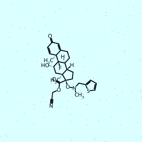 CN(Cc1cccs1)O[C@]1(C(=O)OCC#N)CC[C@H]2[C@@H]3CCC4=CC(=O)C=C[C@]4(C)[C@@]3(F)[C@@H](O)C[C@@]21C